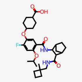 CC(C)Oc1cc(F)c(OC2CCC(C(=O)O)CC2)cc1C(=O)NC1C2CCC(C2)C1C(=O)NCC1(C)CCC1